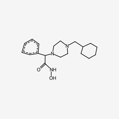 O=C(NO)C(c1ccccc1)N1CCN(CC2CCCCC2)CC1